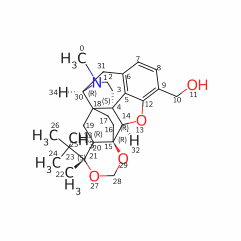 CN1CC[C@]23c4c5ccc(CO)c4O[C@H]2[C@@]24CCC3(C[C@@H]2[C@@](C)(C(C)(C)C)OCO4)[C@H]1C5